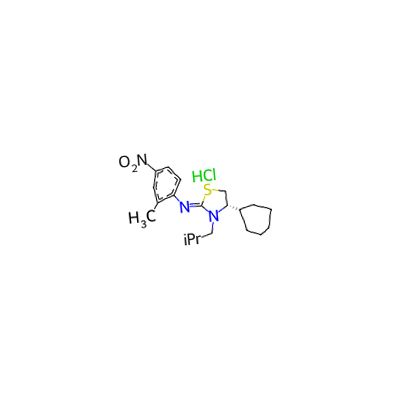 Cc1cc([N+](=O)[O-])ccc1N=C1SC[C@H](C2CCCCC2)N1CC(C)C.Cl